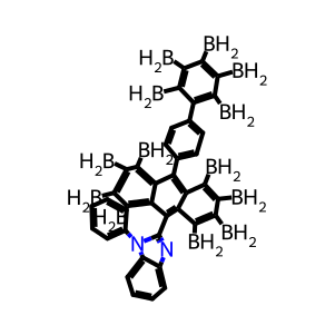 Bc1c(B)c(B)c(-c2ccc(-c3c4c(B)c(B)c(B)c(B)c4c(-c4nc5ccccc5n4-c4ccccc4)c4c(B)c(B)c(B)c(B)c34)cc2)c(B)c1B